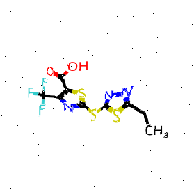 CCc1nnc(Sc2nc(C(F)(F)F)c(C(=O)O)s2)s1